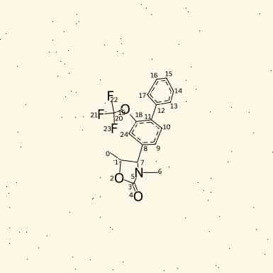 CC1OC(=O)N(C)C1c1ccc(-c2ccccc2)c(OC(F)(F)F)c1